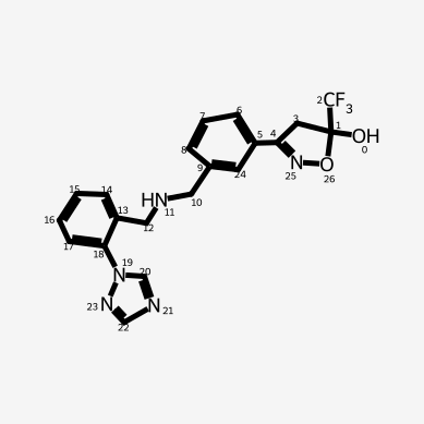 OC1(C(F)(F)F)CC(c2cccc(CNCc3ccccc3-n3cncn3)c2)=NO1